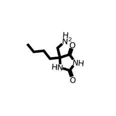 CCCCC1(CN)NC(=O)NC1=O